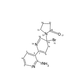 Nc1ncccc1C1=CCC(Br)(N2CCCC2=O)C=N1